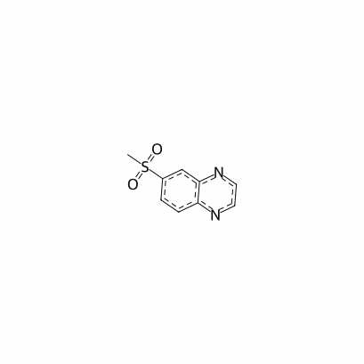 CS(=O)(=O)c1ccc2nccnc2c1